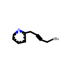 CC(C)(C)CC#CCc1ccccn1